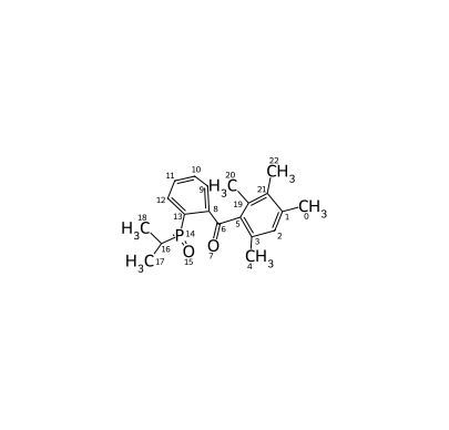 Cc1cc(C)c(C(=O)c2ccccc2[P](=O)C(C)C)c(C)c1C